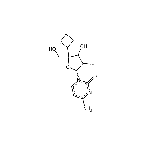 Nc1ccn([C@@H]2O[C@@](CO)(C3CCO3)C(O)C2F)c(=O)n1